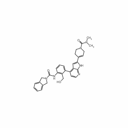 CN(C)C(=O)N1CC=C(c2cc3c(-c4cccc(NC(=O)N5Cc6ccccc6C5)c4CO)ccnc3[nH]2)CC1